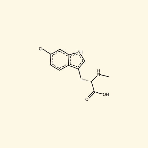 CN[C@@H](Cc1c[nH]c2cc(Cl)ccc12)C(=O)O